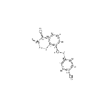 CN1CCc2c(OCc3ccc(Cl)cc3)cccc2C1=O